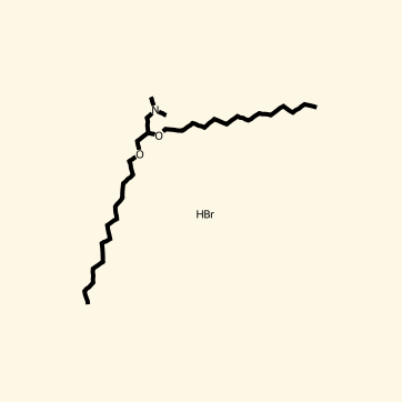 Br.CCCCCCCCCCCCCCOCC(CN(C)C)OCCCCCCCCCCCCCC